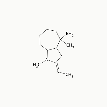 BC1(C)CCCCC2C1C/C(=N\C)N2C